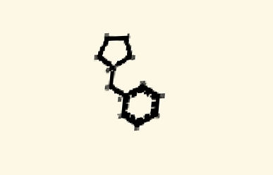 [CH]1CCCN1Cc1ccccc1